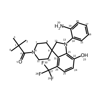 CC(C)(C)C(=O)N1CCC2(CC1)CN(c1ccccc1N)c1c(O)ccc(C(F)(F)F)c12